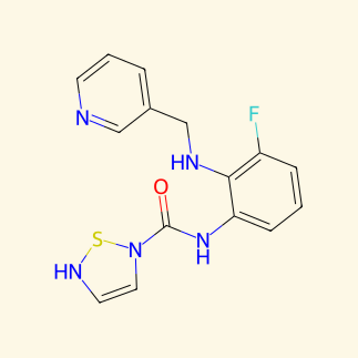 O=C(Nc1cccc(F)c1NCc1cccnc1)N1C=CNS1